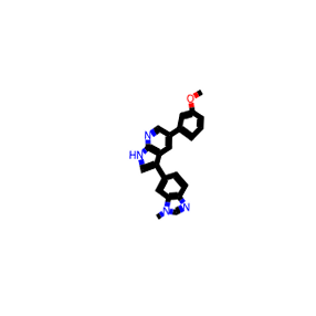 COc1cccc(-c2cnc3[nH]cc(-c4ccc5ncn(C)c5c4)c3c2)c1